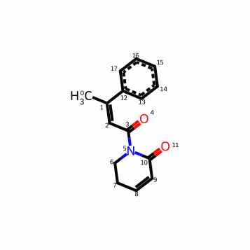 CC(=CC(=O)N1CCC=CC1=O)c1ccccc1